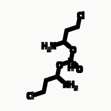 NC(CCCl)O[PH](=O)OC(N)CCCl